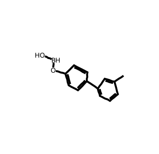 Cc1cccc(-c2ccc(OBO)cc2)c1